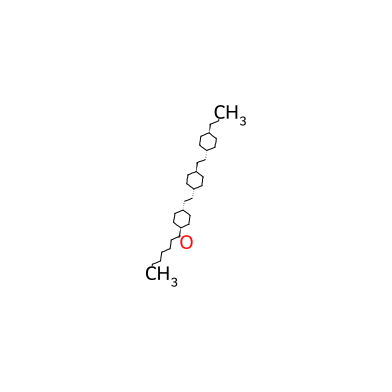 CCCCCCC(=O)[C@H]1CC[C@H](CC[C@H]2CC[C@H](CC[C@H]3CC[C@H](CCC)CC3)CC2)CC1